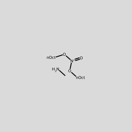 CCCCCCCCO[N+](=O)OCCCCCCCC.CN